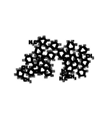 Cc1ccc(-c2ccccc2)cc1N(c1ccccc1)c1cc(N(c2ccccc2)c2cc(-c3cccc(Cc4cccc(C)c4-c4ccc(C)c(N(c5ccccc5)c5cc(N(c6ccccc6)c6cc(-c7c(C)cccc7C)ccc6C)c6ccc7cccc8ccc5c6c78)c4)c3)ccc2C)c2ccc3cc(C(C)(C)C)cc4ccc1c2c43